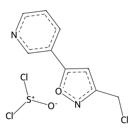 ClCc1cc(-c2cccnc2)on1.[O-][S+](Cl)Cl